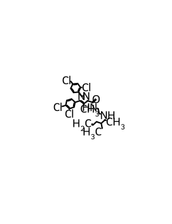 C=CCC(CC)C(C)NCCNC(=O)c1nn(-c2ccc(Cl)cc2Cl)c(-c2ccc(Cl)c(Cl)c2)c1C